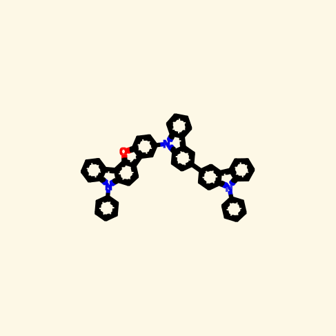 c1ccc(-n2c3ccccc3c3cc(-c4ccc5c(c4)c4ccccc4n5-c4ccc5oc6c(ccc7c6c6ccccc6n7-c6ccccc6)c5c4)ccc32)cc1